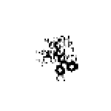 C[C@H](O)C(=O)NC1c2cc(-c3ccc(Cl)cc3)c(-c3ccccc3Cl)nc2OC1C(=O)C(C)(C)C